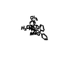 COC(c1ccccc1)(c1ccccc1)[C@H](N=[N+]=[N-])Oc1nc(C)cc(C)n1